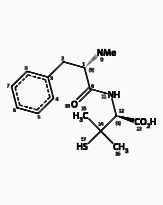 CN[C@@H](Cc1ccccc1)C(=O)N[C@@H](C(=O)O)C(C)(C)S